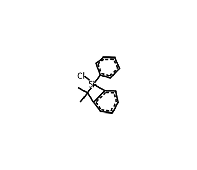 CC1(C)c2ccccc2[Si]1(Cl)c1ccccc1